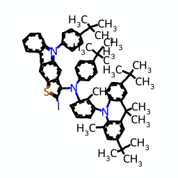 Cc1cc(C(C)(C)C)cc2c1N(c1cccc(N(c3ccc(C(C)(C)C)cc3)c3c(I)sc4cc5c6ccccc6n(-c6ccc(C(C)(C)C)cc6)c5cc34)c1C)c1ccc(C(C)(C)C)cc1C2(C)C